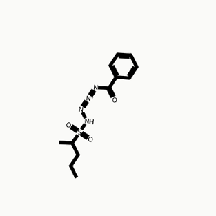 CCCC(C)S(=O)(=O)NN=[N+]=NC(=O)c1ccccc1